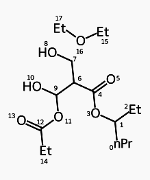 CCCC(CC)OC(=O)C(CO)C(O)OC(=O)CC.CCOCC